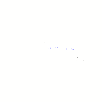 CCOC(=O)[C@@H]1C2CCC(C2)[C@@H]1NC(=O)c1nn(C2CCCCC2)c2c1CCCCC2Cc1ccc(F)cc1